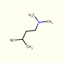 [CH2]C(C#N)CCN(C)C